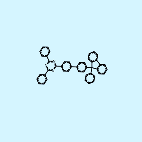 c1ccc(-c2nc(-c3ccccc3)nc(-c3ccc(-c4ccc(C5(c6ccccc6)c6ccccc6-c6ccccc65)cc4)cc3)n2)cc1